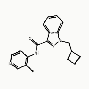 O=C(Nc1ccncc1F)c1nn(CC2CCC2)c2ccccc12